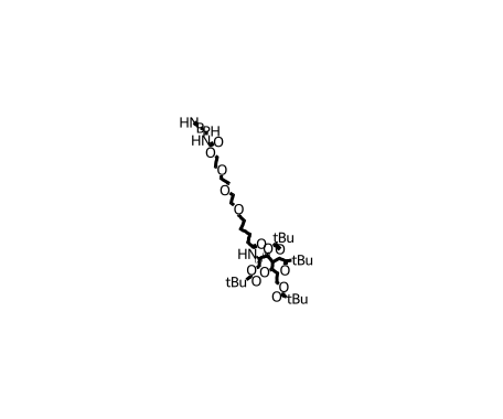 CC(C)(C)C(=O)CC1C(CCOC(=O)C(C)(C)C)OC(OC(=O)C(C)(C)C)[C@@H](NC(=O)CCCCCOCCOCCOCCOC(=O)NPB=N)[C@H]1OC(=O)C(C)(C)C